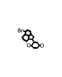 O=C1C=CC(=O)C(C2Cc3ccc(Br)c4cccc2c34)=C1